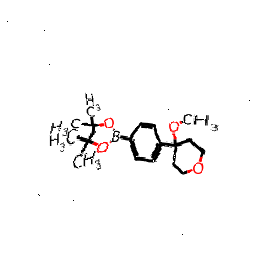 COC1(c2ccc(B3OC(C)(C)C(C)(C)O3)cc2)CCOCC1